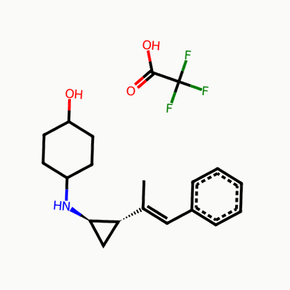 C/C(=C\c1ccccc1)[C@@H]1C[C@H]1NC1CCC(O)CC1.O=C(O)C(F)(F)F